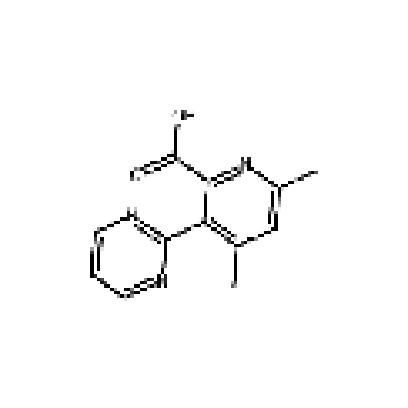 Cc1cc(C)c(-c2ncccn2)c(C(=O)O)n1